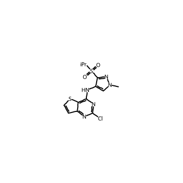 CC(C)S(=O)(=O)c1nn(C)cc1Nc1nc(Cl)nc2ccsc12